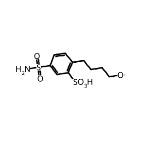 NS(=O)(=O)c1ccc(CCCC[O])c(S(=O)(=O)O)c1